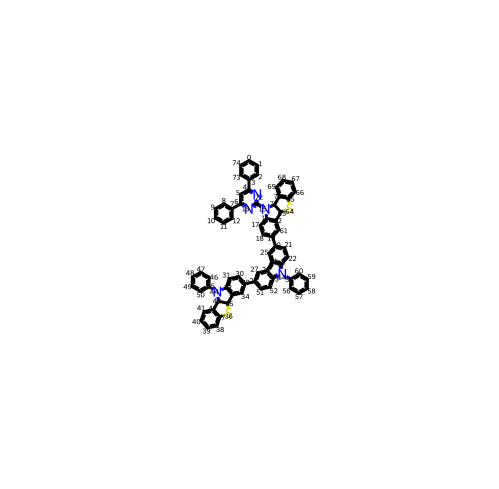 c1ccc(-c2cc(-c3ccccc3)nc(N3c4ccc(-c5ccc6c(c5)c5cc(-c7ccc8c(c7)C7Sc9ccccc9C7N8c7ccccc7)ccc5n6-c5ccccc5)cc4C4Sc5ccccc5C43)n2)cc1